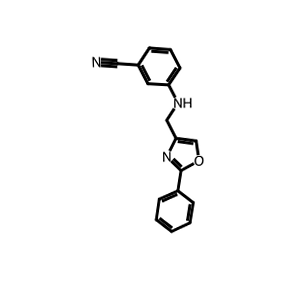 N#Cc1cccc(NCc2coc(-c3ccccc3)n2)c1